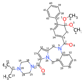 COC1(OC)CC(C(=O)N2Cc3ccc(C(=O)N4CCN(C(C)C)CC4)n3Cc3ccccc32)=CC=C1c1ccccc1